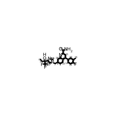 CC[C@](O)(c1cn(Cc2ccc3c(-c4ccc(F)c(C)c4)cc(C(N)=O)nc3c2)nn1)C(F)(F)F